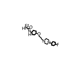 CCNC(=O)Nc1ccc(OCCCN2CCN(c3ccc(F)cc3)CC2)cc1